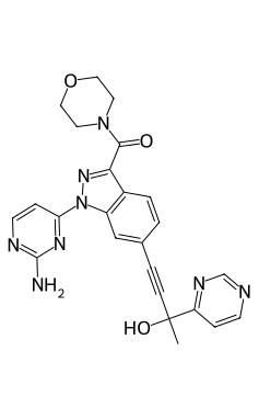 CC(O)(C#Cc1ccc2c(C(=O)N3CCOCC3)nn(-c3ccnc(N)n3)c2c1)c1ccncn1